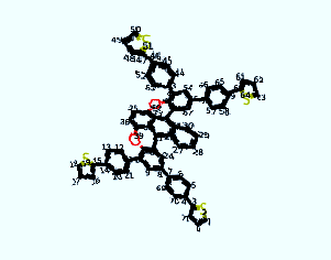 c1csc(-c2ccc(-c3cc(-c4ccc(-c5cccs5)cc4)c4c(c3)-c3c5ccccc5c5c6c(ccc(c36)O4)Oc3c(-c4ccc(-c6cccs6)cc4)cc(-c4ccc(-c6cccs6)cc4)cc3-5)cc2)c1